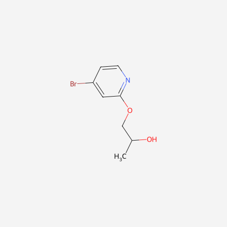 CC(O)COc1cc(Br)ccn1